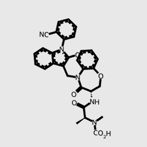 C[C@@H](C(=O)N[C@H]1COc2ccccc2N(Cc2c(Cl)n(-c3ccccc3C#N)c3ccccc23)C1=O)N(C)C(=O)O